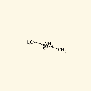 CCCCCCC[CH2][Sn](=[O])[CH2]CCCCCCC.N